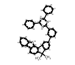 CC1(C)c2ccc(-c3cccc(-c4nc(-c5ccccc5)nc(-c5ccccc5)n4)c3)cc2-c2c1ccc1c2sc2ccccc21